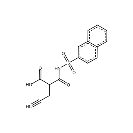 C#CCC(C(=O)O)C(=O)NS(=O)(=O)c1ccc2ccccc2c1